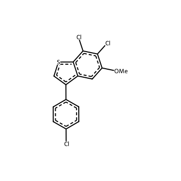 COc1cc2c(-c3ccc(Cl)cc3)csc2c(Cl)c1Cl